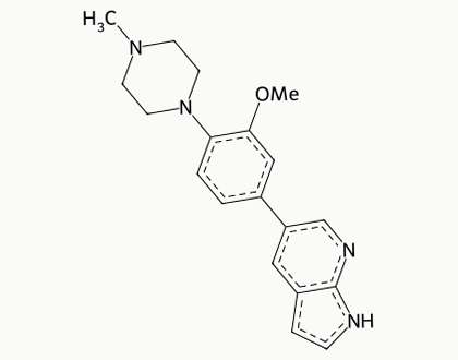 COc1cc(-c2cnc3[nH]ccc3c2)ccc1N1CCN(C)CC1